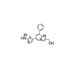 CC(C)Nc1ncc(-c2cc(-c3ccccc3)c3nc(CO)cn3c2)s1